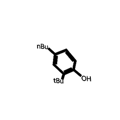 CCCCc1ccc(O)c(C(C)(C)C)c1